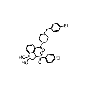 CCc1ccc(CN2CCN(C(=O)c3cccc4c3C(S(=O)(=O)c3ccccc3)CS4(O)O)CC2)cc1.Cl